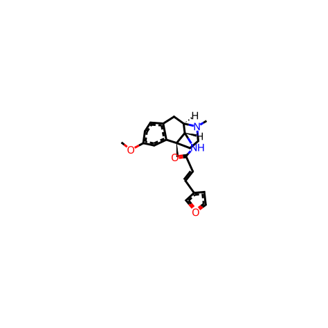 COc1ccc2c(c1)[C@@]1(C)CCN(C)[C@H](C2)[C@@H]1NC(=O)/C=C/c1ccoc1